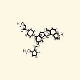 C=CC(=O)N1CCN(c2nc(OCC3CCCN3C)nc3c2CCC3Oc2c(Cl)ccc3[nH]ncc23)CC1